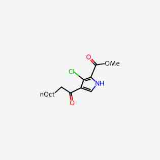 CCCCCCCCCC(=O)c1c[nH]c(C(=O)OC)c1Cl